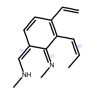 C=CC1=C(/C=C\C)C(=N/C)/C(=C\NC)C=C1